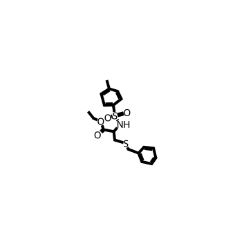 CCOC(=O)C(CSCc1ccccc1)NS(=O)(=O)c1ccc(C)cc1